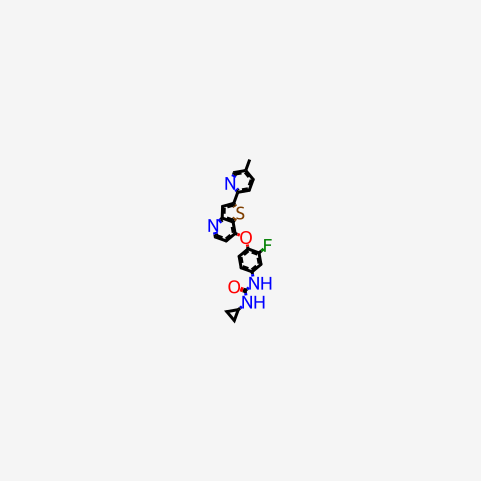 Cc1ccc(-c2cc3nccc(Oc4ccc(NC(=O)NC5CC5)cc4F)c3s2)nc1